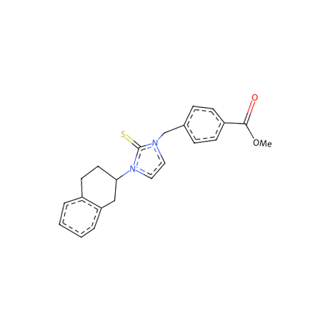 COC(=O)c1ccc(Cn2ccn(C3CCc4ccccc4C3)c2=S)cc1